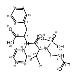 CC(=O)NCN(C(C(=O)N(C(Cc1ccccc1)C(=O)O)N1C=CN=CC1)C(C)C)P(=O)(O)O